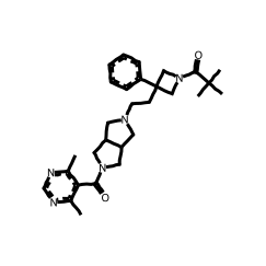 Cc1ncnc(C)c1C(=O)N1CC2CN(CCC3(c4ccccc4)CN(C(=O)C(C)(C)C)C3)CC2C1